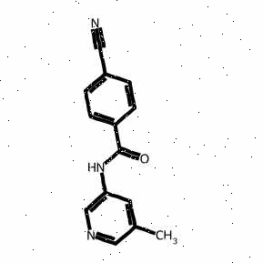 Cc1cncc(NC(=O)c2ccc(C#N)cc2)c1